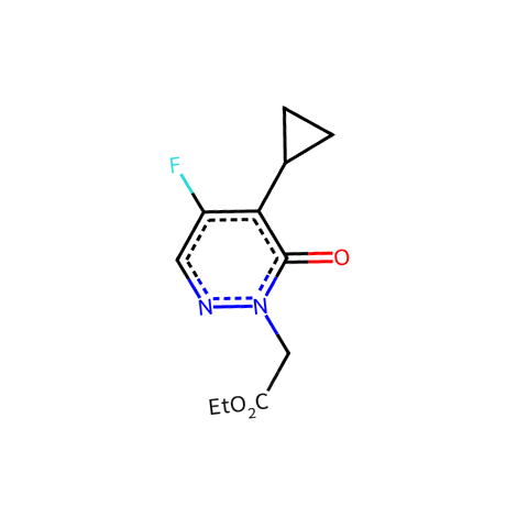 CCOC(=O)Cn1ncc(F)c(C2CC2)c1=O